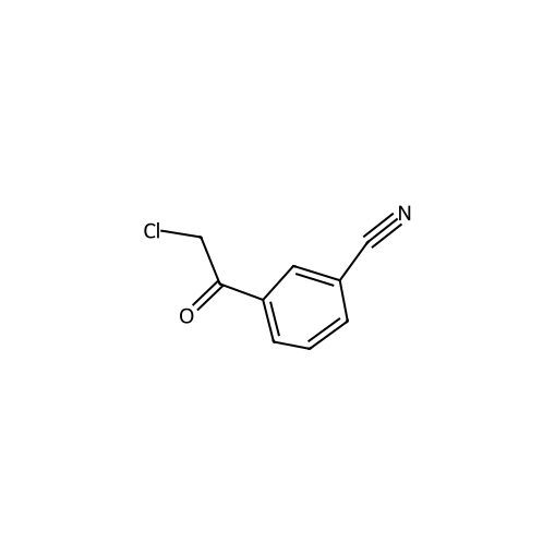 N#Cc1cccc(C(=O)CCl)c1